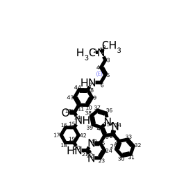 CN(C)C/C=C/CNc1ccc(C(=O)NC2CCCC(Nc3nccc(-c4c(-c5ccccc5)nn5ccccc45)n3)C2)cc1